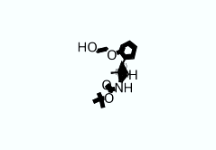 CC(C)(C)OC(=O)NC1[C@@H]2[C@H](c3ccccc3OCCO)[C@@]12C